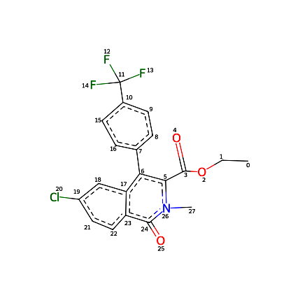 CCOC(=O)c1c(-c2ccc(C(F)(F)F)cc2)c2cc(Cl)ccc2c(=O)n1C